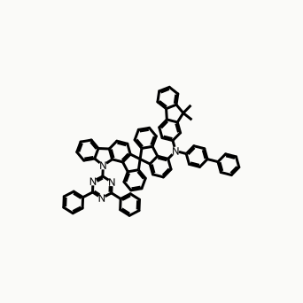 CC1(C)c2ccccc2-c2ccc(N(c3ccc(-c4ccccc4)cc3)c3cccc4c3-c3ccccc3C43c4ccccc4-c4c3ccc3c5ccccc5n(-c5nc(-c6ccccc6)nc(-c6ccccc6)n5)c43)cc21